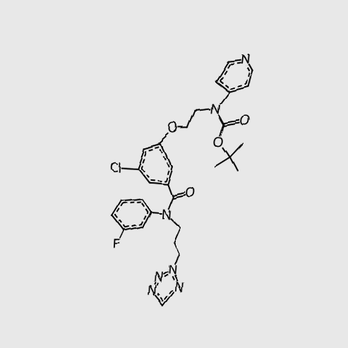 CC(C)(C)OC(=O)N(CCOc1cc(Cl)cc(C(=O)N(CCCn2ncnn2)c2cccc(F)c2)c1)c1ccncc1